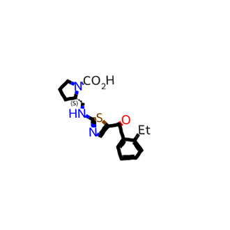 CCc1ccccc1C(=O)c1cnc(NC[C@@H]2CCCN2C(=O)O)s1